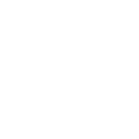 CC/C=N/N1CCC[C@H]1CO